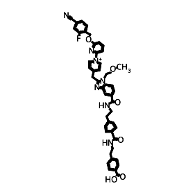 COCCn1c(Cc2cc[n+](-c3cccc(OCc4ccc(C#N)cc4F)n3)cc2)nc2cc(C(=O)NCCc3ccc(C(=O)NCCc4ccc(C(=O)O)cc4)cc3)ccc21